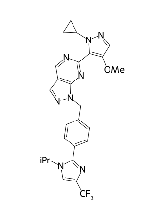 COc1cnn(C2CC2)c1-c1ncc2cnn(Cc3ccc(-c4nc(C(F)(F)F)cn4C(C)C)cc3)c2n1